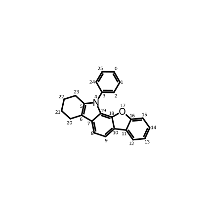 c1ccc(-n2c3c(c4ccc5c6ccccc6oc5c42)CCCC3)cc1